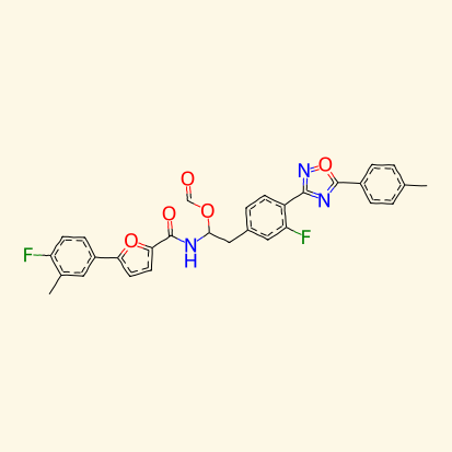 Cc1ccc(-c2nc(-c3ccc(CC(NC(=O)c4ccc(-c5ccc(F)c(C)c5)o4)OC=O)cc3F)no2)cc1